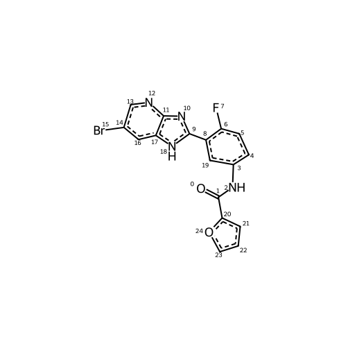 O=C(Nc1ccc(F)c(-c2nc3ncc(Br)cc3[nH]2)c1)c1ccco1